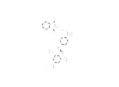 CCN(CCCN1C(=O)c2ccccc2C1=O)c1ccc(/N=N/c2c(Br)cc([N+](=O)[O-])cc2[N+](=O)[O-])c(C)c1